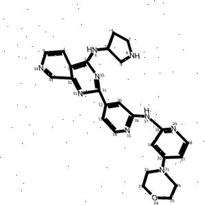 c1cc2c(NC3CCNC3)nc(-c3ccnc(Nc4cc(N5CCOCC5)ccn4)c3)nc2cn1